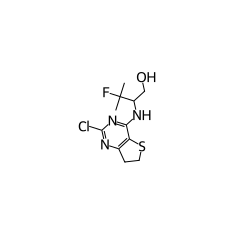 CC(C)(F)C(CO)Nc1nc(Cl)nc2c1SCC2